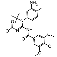 COc1cc(C(=O)NC(=NC(=O)O)N(c2ccc(C)c(N)c2)C(C)(C)C)cc(OC)c1OC